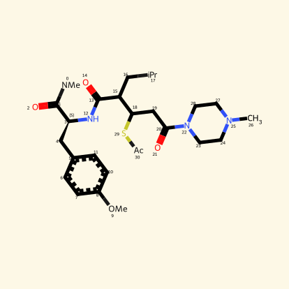 CNC(=O)[C@H](Cc1ccc(OC)cc1)NC(=O)C(CC(C)C)C(CC(=O)N1CCN(C)CC1)SC(C)=O